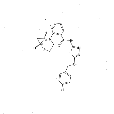 O=C(Nc1nnc(OCc2ccc(Cl)cc2)s1)c1ccncc1N1CCO[C@@H]2C[C@@H]21